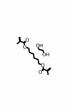 C=C(C)C(=O)OCCCCCCOC(=O)C(=C)C.OCCO